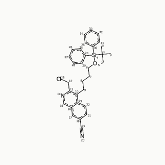 CC(C)(C)[Si](OCCCCc1c(CCl)ncc2cc(C#N)ccc12)(c1ccccc1)c1ccccc1